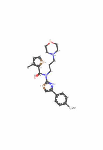 COc1ccc(-c2csc(N(CCCN3CCOCC3)C(=O)c3sccc3C)n2)cc1